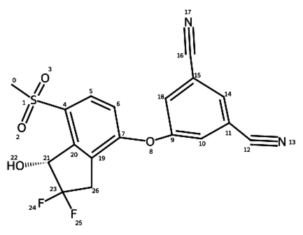 CS(=O)(=O)c1ccc(Oc2cc(C#N)cc(C#N)c2)c2c1[C@@H](O)C(F)(F)C2